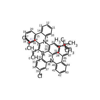 C=CC1=C(/C=C(\C)Cl)N(c2ccccc2-c2ccccc2)c2cc(C(C)(C)C)cc3c2B1c1ccc(Cl)cc1N3c1ccccc1-c1ccccc1